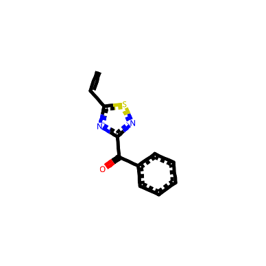 C=Cc1nc(C(=O)c2ccccc2)ns1